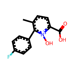 Cc1ccc(C(=O)O)[n+](O)c1-c1ccc(F)cc1